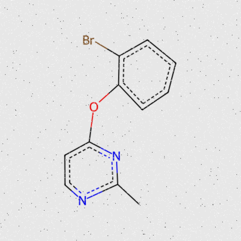 Cc1nccc(Oc2ccccc2Br)n1